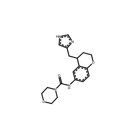 O=C(Nc1ccc2c(c1)C(Cc1c[nH]cn1)CCO2)N1CCOCC1